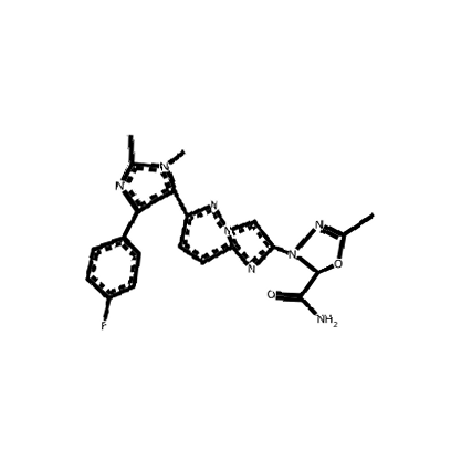 CC1=NN(c2cn3nc(-c4c(-c5ccc(F)cc5)nc(C)n4C)ccc3n2)C(C(N)=O)O1